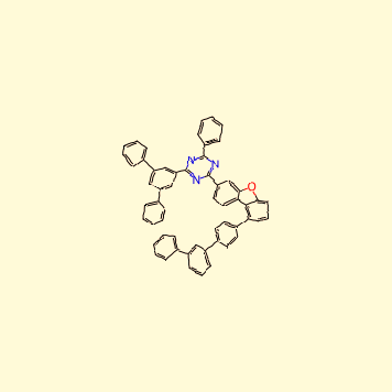 c1ccc(-c2cccc(-c3ccc(-c4cccc5oc6cc(-c7nc(-c8ccccc8)nc(-c8cc(-c9ccccc9)cc(-c9ccccc9)c8)n7)ccc6c45)cc3)c2)cc1